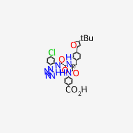 CC(C)(C)c1coc(-c2ccc(C[C@H](NC(=O)C(=O)Nc3cc(Cl)ccc3-n3cnnn3)C(=O)Nc3ccc(C(=O)O)cc3)cc2)c1